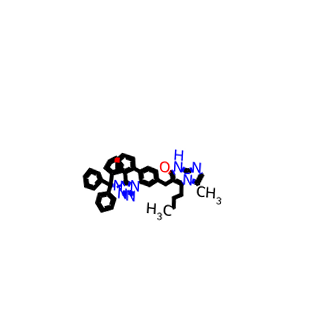 CCCCc1c(Cc2ccc(-c3ccccc3-c3nnnn3C(c3ccccc3)(c3ccccc3)c3ccccc3)cc2)c(=O)[nH]c2ncc(C)n12